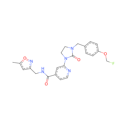 Cc1cc(CNC(=O)c2ccnc(N3CCN(Cc4ccc(OCF)cc4)C3=O)c2)no1